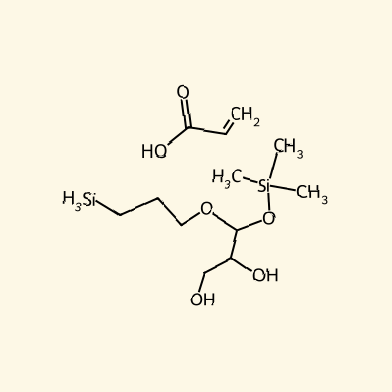 C=CC(=O)O.C[Si](C)(C)OC(OCCC[SiH3])C(O)CO